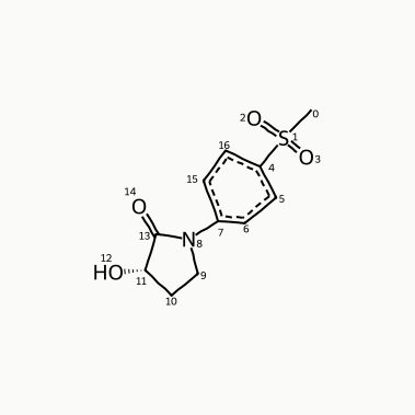 CS(=O)(=O)c1ccc(N2CC[C@H](O)C2=O)cc1